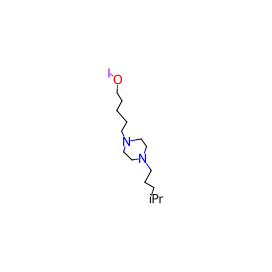 CC(C)CCCN1CCN(CCCCCOI)CC1